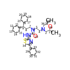 CC1CN(CCN(CCC(c2ccccc2)c2ccccc2)C(=O)Nc2nc(-c3ccccc3)cs2)CC(C)O1